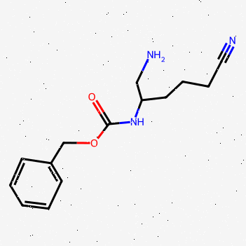 N#CCCCC(CN)NC(=O)OCc1ccccc1